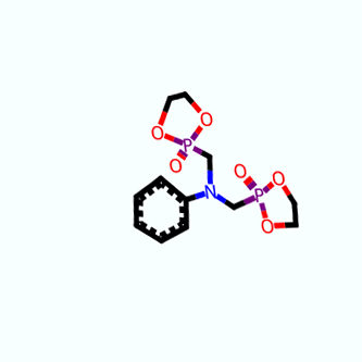 O=P1(CN(CP2(=O)OCCO2)c2ccccc2)OCCO1